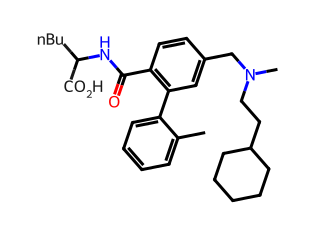 CCCCC(NC(=O)c1ccc(CN(C)CCC2CCCCC2)cc1-c1ccccc1C)C(=O)O